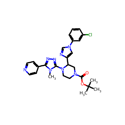 Cn1c(-c2ccncc2)nnc1N1CCN(C(=O)OC(C)(C)C)CC1c1cn(-c2cccc(Cl)c2)cn1